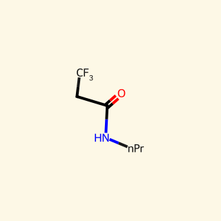 CCCNC(=O)CC(F)(F)F